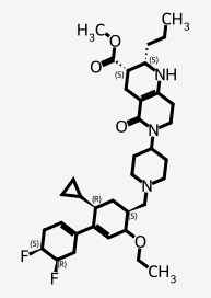 CCC[C@@H]1NC2=C(C[C@@H]1C(=O)OC)C(=O)N(C1CCN(C[C@@H]3C[C@H](C4CC4)C(C4=CC[C@H](F)[C@H](F)C4)=CC3OCC)CC1)CC2